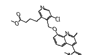 C=C/C=C(/c1cc(C)nc2c(OCc3c(Cl)cncc3CCCC(=O)OC)cccc12)N(C)C